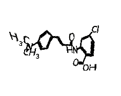 CN(C)c1ccc(C=CC(=O)Nc2cc(Cl)ccc2C(=O)O)cc1